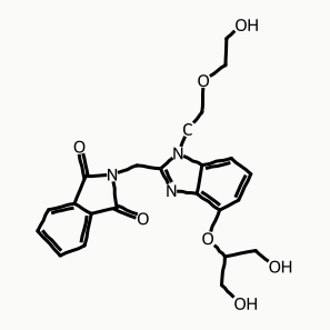 O=C1c2ccccc2C(=O)N1Cc1nc2c(OC(CO)CO)cccc2n1CCOCCO